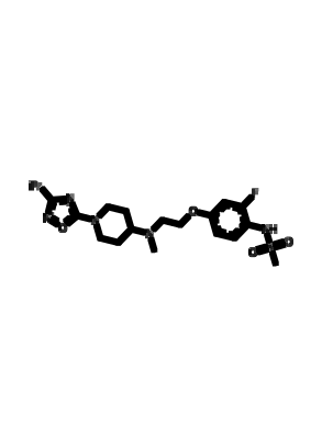 CC(C)c1noc(N2CCC(N(C)CCOc3ccc(NS(C)(=O)=O)c(F)c3)CC2)n1